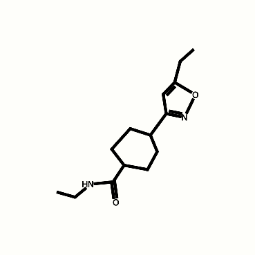 CCNC(=O)C1CCC(c2cc(CC)on2)CC1